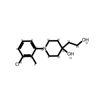 Cc1c(Cl)cccc1N1CCC(O)(CCO)CC1